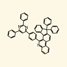 c1ccc(-c2cc(-c3ccc(-c4nc5ccccc5c5ccc6c(c45)-c4ccccc4C6(c4ccccc4)c4ccccc4)cc3)nc(-c3ccccc3)n2)cc1